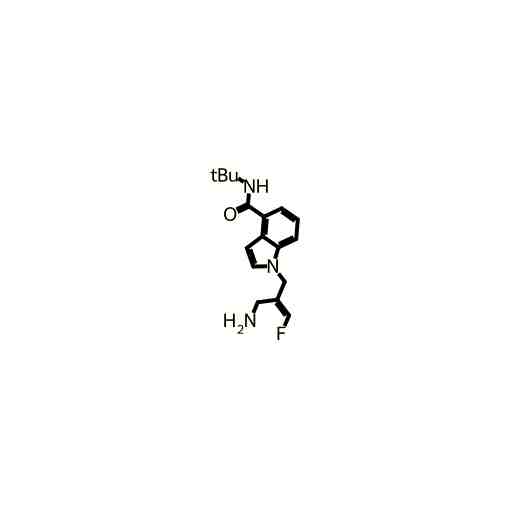 CC(C)(C)NC(=O)c1cccc2c1ccn2C/C(=C/F)CN